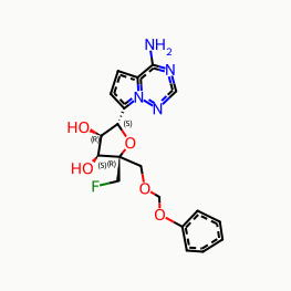 Nc1ncnn2c([C@@H]3O[C@](CF)(COCOc4ccccc4)[C@@H](O)[C@H]3O)ccc12